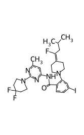 Cc1cc(NC(=O)c2ccc(I)cc2N2CCC(=C(F)CC(C)C)CC2)nc(N2CCC(F)(F)CC2)n1